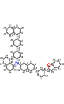 c1cc(-c2ccc3cc(N(c4ccc(-c5ccc(-c6cccc7ccccc67)cc5)cc4)c4cccc5ccccc45)ccc3c2)cc(-c2cc3ccccc3o2)c1